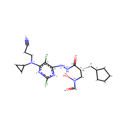 N#CCCN(c1nc(Cl)nc(NNC(=O)[C@H](CC2CCCC2)CN(O)C=O)c1F)C1CC1